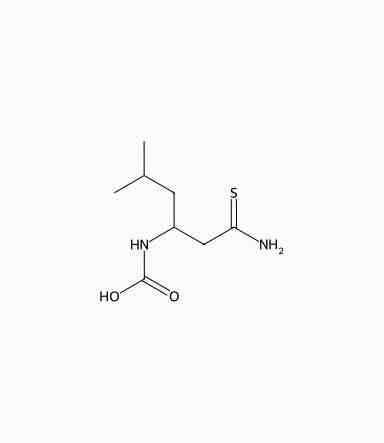 CC(C)CC(CC(N)=S)NC(=O)O